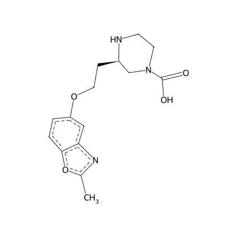 Cc1nc2cc(OCC[C@@H]3CN(C(=O)O)CCN3)ccc2o1